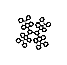 c1ccc(N(c2ccccc2)c2c3ccccc3c(-c3cc(-c4cc(-c5c6ccccc6c(N(c6ccccc6)c6ccccc6)c6ccccc56)cc(-c5c6ccccc6c(N(c6ccccc6)c6ccccc6)c6ccccc56)c4)cc(-c4c5ccccc5c(N(c5ccccc5)c5ccccc5)c5ccccc45)c3)c3ccccc23)cc1